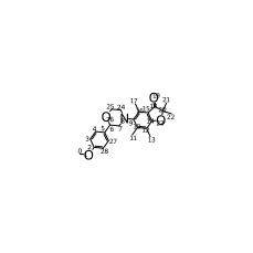 COc1ccc(C2CN(c3c(C)c(C)c4c(c3C)C(=O)C(C)(C)O4)CCO2)cc1